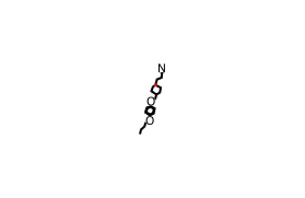 CCCCOc1ccc(OCC2CCC(CCC#N)CC2)cc1